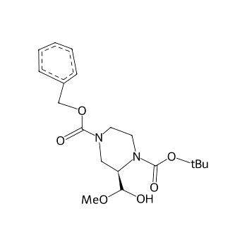 COC(O)[C@H]1CN(C(=O)OCc2ccccc2)CCN1C(=O)OC(C)(C)C